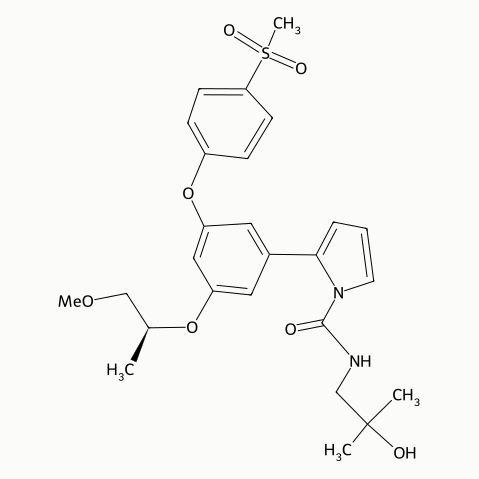 COC[C@H](C)Oc1cc(Oc2ccc(S(C)(=O)=O)cc2)cc(-c2cccn2C(=O)NCC(C)(C)O)c1